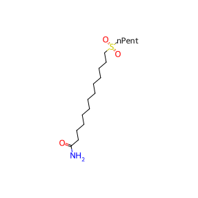 CCCCCS(=O)(=O)CCCCCCCCCCCCC(N)=O